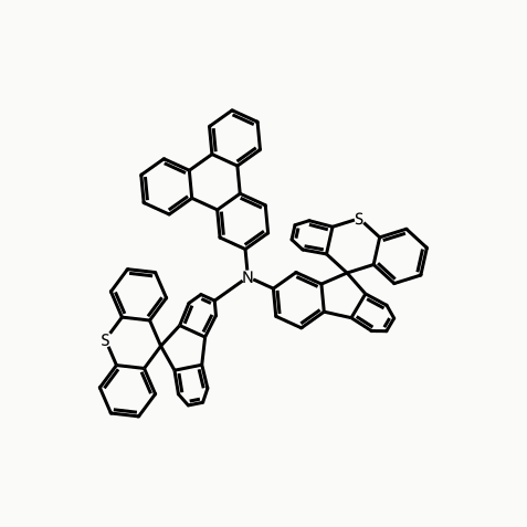 c1ccc2c(c1)Sc1ccccc1C21c2ccccc2-c2cc(N(c3ccc4c(c3)C3(c5ccccc5Sc5ccccc53)c3ccccc3-4)c3ccc4c5ccccc5c5ccccc5c4c3)ccc21